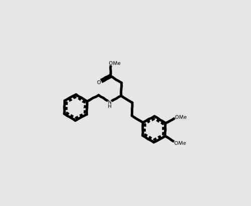 COC(=O)CC(CCc1ccc(OC)c(OC)c1)NCc1ccccc1